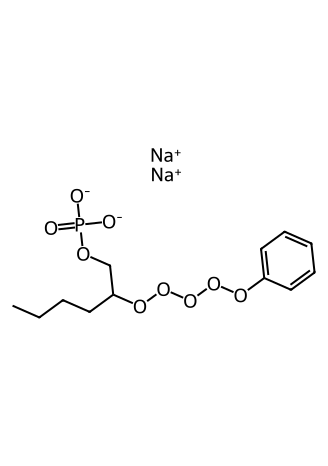 CCCCC(COP(=O)([O-])[O-])OOOOOc1ccccc1.[Na+].[Na+]